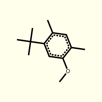 COc1cc(C(C)(C)C)c(C)cc1C